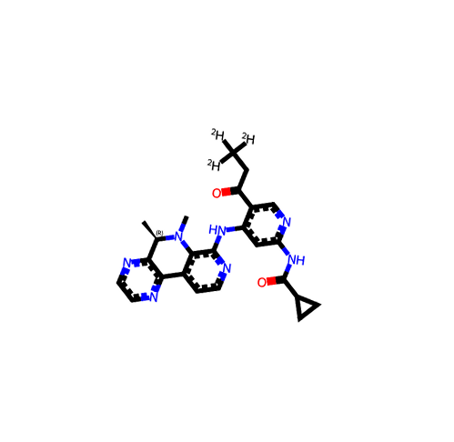 [2H]C([2H])([2H])CC(=O)c1cnc(NC(=O)C2CC2)cc1Nc1nccc2c1N(C)[C@H](C)c1nccnc1-2